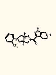 O=C(c1n[nH]c2c1CCNC2)N1C[C@H]2C[C@@H](c3ccccc3C(F)(F)F)C[C@H]2C1